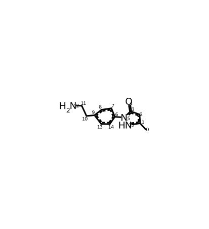 Cc1cc(=O)n(-c2ccc(CCN)cc2)[nH]1